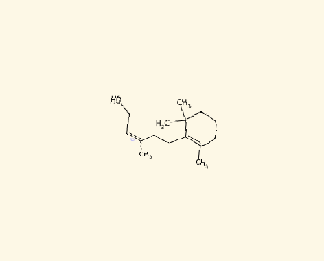 CC1=C(CC/C(C)=C\CO)C(C)(C)CCC1